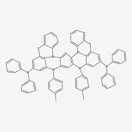 Ic1ccc(N2c3cc4c(cc3B3c5ccccc5Sc5cc(N(c6ccccc6)c6ccccc6)cc2c53)B2c3ccccc3Sc3cc(N(c5ccccc5)c5ccccc5)cc(c32)N4c2ccc(I)cc2)cc1